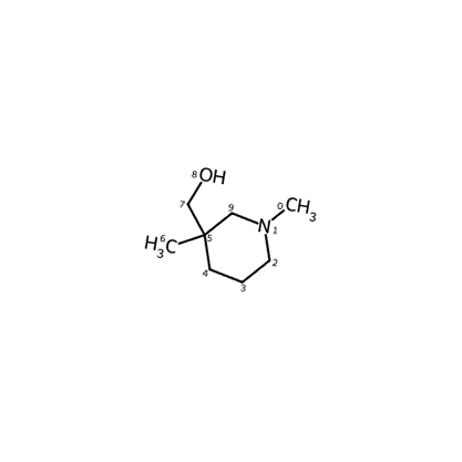 CN1CCCC(C)(CO)C1